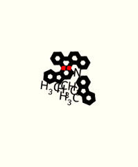 CC1(C)c2ccccc2-c2ccc(N(c3ccc4c(c3)C(C)(C)c3ccccc3-4)c3cccc4ccc5c6ccccc6ccc5c34)cc21